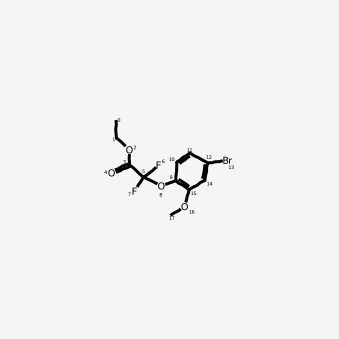 CCOC(=O)C(F)(F)Oc1ccc(Br)cc1OC